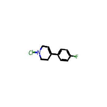 Fc1ccc(C2=CCN(Cl)CC2)cc1